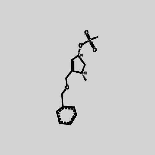 C[C@H]1C[C@@H](OS(C)(=O)=O)C=C1COCc1ccccc1